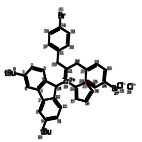 CC(C)(C)c1ccc2c(c1)-c1cc(C(C)(C)C)ccc1[CH]2[Zr+2]([C]1=CC=CC1)=[C](Cc1ccc(Br)cc1)Cc1ccc(Br)cc1.[Cl-].[Cl-]